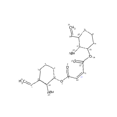 C=CC1CCCC(OC(=O)/C=C\C(=O)OC2CCCC(C=C)C2CCCC)C1CCCC